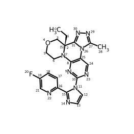 CC[C@]12COCCN1c1nc(-n3ccnc3-c3ccc(F)cn3)ncc1-n1c(C)nnc12